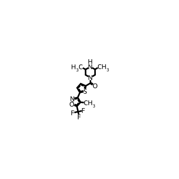 Cc1c(-c2ccc(C(=O)N3CC(C)NC(C)C3)s2)noc1C(F)(F)F